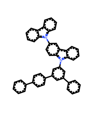 c1ccc(-c2ccc(-c3cc(-c4ccccc4)cc(-n4c5ccccc5c5cc(-n6c7ccccc7c7ccccc76)ccc54)c3)cc2)cc1